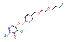 CC(C)(C)n1ncc(OCc2ccc(COCCOCCCF)cc2)c(Cl)c1=O